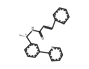 C[C@H](NC(=O)/C=C/c1ccccc1)c1cccc(-c2ccccn2)c1